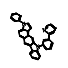 c1ccc(-n2ccc3c4cc5c(cc4ccc32)c2ccccc2n5-c2cccc(-c3ccccn3)c2)cc1